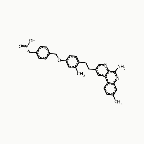 Cc1ccc2c(c1)nc(N)c1ncc(CCc3ccc(OCc4ccc(C[PH](=O)O)cc4)cc3C)cc12